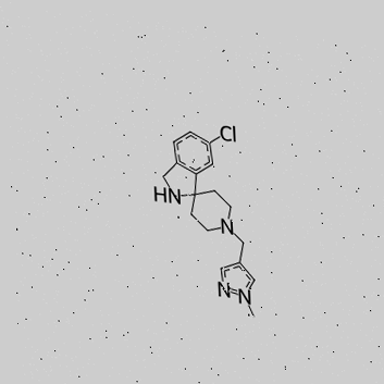 Cn1cc(CN2CCC3(CC2)NCc2ccc(Cl)cc23)cn1